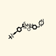 CN1CCN(Cc2ccc(C(=O)Nc3nc(-c4ccc(C#CS(C)(C)C(C)(C)C)cc4)cs3)cc2)CC1